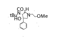 COCCN1C[C@@H](N(C(=O)O)C(C)(C)C)[C@](O)(c2ccccc2)C1